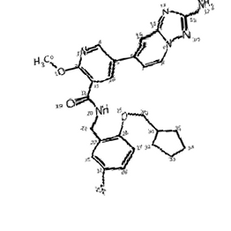 COc1ncc(-c2ccn3nc(N)nc3c2)cc1C(=O)NCc1cc(F)ccc1OCC1CCCC1